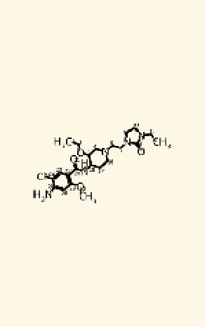 CCOC1CN(CCN2CCN(CC)C2=O)CCC1NC(=O)c1cc(Cl)c(N)cc1OC